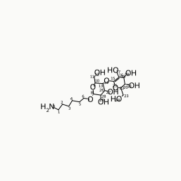 NCCCCCCO[C@@H]1OC(CO)[C@@H](OC2=C(O)C(O)[C@@H](O)C(CO)O2)C(O)C1O